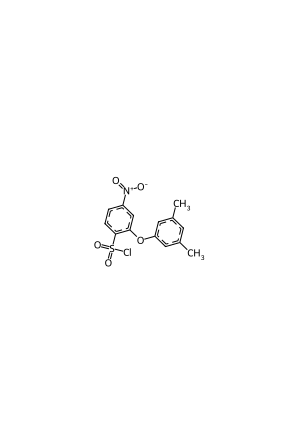 Cc1cc(C)cc(Oc2cc([N+](=O)[O-])ccc2S(=O)(=O)Cl)c1